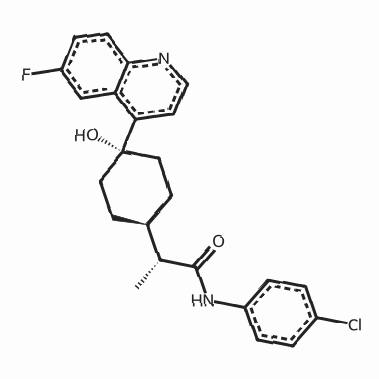 C[C@@H](C(=O)Nc1ccc(Cl)cc1)[C@H]1CC[C@@](O)(c2ccnc3ccc(F)cc32)CC1